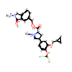 CC(=O)N1CC(c2ccc(OC(F)F)c(OCC3CC3)c2)C[C@@H]1C(=O)OCc1ccc2c(c1)C(=O)N(C)C2